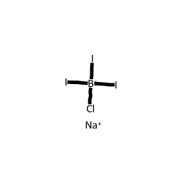 Cl[B-](I)(I)I.[Na+]